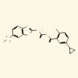 CS(=O)(=O)c1ccc2nc(NC(=O)NC(=O)c3cc(C4CC4)ccc3Cl)sc2c1